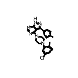 Cc1ccc(-c2n[nH]c3ncnc(N4CCN(c5cc(Cl)ccc5C)CC4)c23)cc1